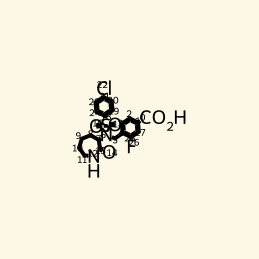 O=C(O)c1ccc(CN(C2CCCCNC2=O)S(=O)(=O)c2ccc(Cl)cc2)c(F)c1